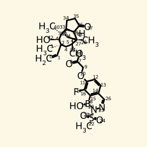 C=C[C@]1(C)C[C@@H](OC(=O)COc2ccc3c(c2F)B(O)N(S(C)(=O)=O)N=C3)[C@]2(C)[C@H](C)CC[C@]3(CCC(=O)[C@H]32)[C@@H](C)[C@@H]1O